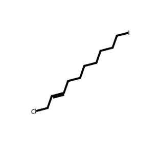 ClCC=CCCCCCCCI